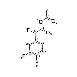 CC(=O)OC(=O)C(F)c1ccc(F)c(F)c1